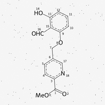 COC(=O)c1ccc(COc2cccc(O)c2C=O)cn1